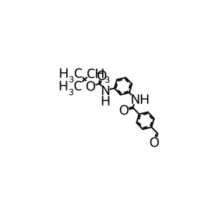 CC(C)(C)OC(=O)Nc1cccc(NC(=O)c2ccc(C=O)cc2)c1